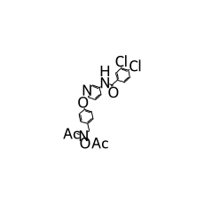 CC(=O)ON(Cc1ccc(Oc2ccc(NC(=O)c3ccc(Cl)c(Cl)c3)cn2)cc1)C(C)=O